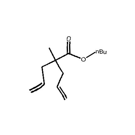 C=CCC(C)(CC=C)C(=O)OCCCC